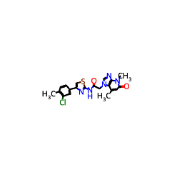 Cc1ccc(-c2csc(NC(=O)Cn3cnc4c3c(C)cc(=O)n4C)n2)cc1Cl